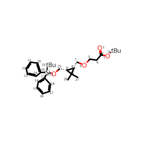 CC(C)(C)OC(=O)CCOC[C@H]1[C@@H](CO[Si](c2ccccc2)(c2ccccc2)C(C)(C)C)C1(C)C